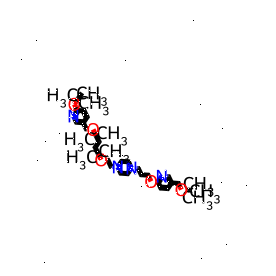 CC(C)(C)OCc1ccc(OCCCN2CCN(CCOC(C)(C)CCC(C)(C)OCc3ccc(OC(C)(C)C)nc3)CC2)nc1